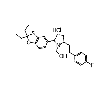 CCC1(CC)Oc2ccc(C3CCC(CCc4ccc(F)cc4)N3CO)cc2S1.Cl